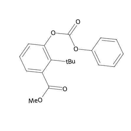 COC(=O)c1cccc(OC(=O)Oc2ccccc2)c1C(C)(C)C